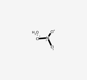 O.[Cl][Ni]([Cl])[Cl]